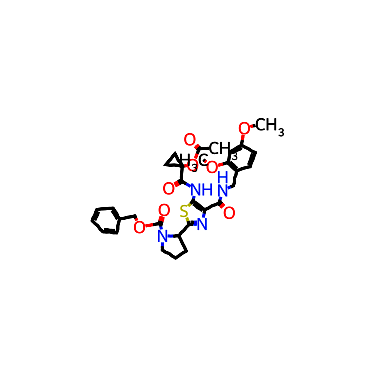 COc1ccc(CNC(=O)c2nc(C3CCCN3C(=O)OCc3ccccc3)sc2NC(=O)C2(OC(C)=O)CC2)c(OC)c1